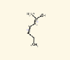 CC/C=C\N=C(/N)S